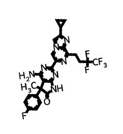 CC1(c2ccc(F)cc2)C(=O)Nc2nc(-c3cn4cc(C5CC5)nc4c(CCC(F)(F)C(F)(F)F)n3)nc(N)c21